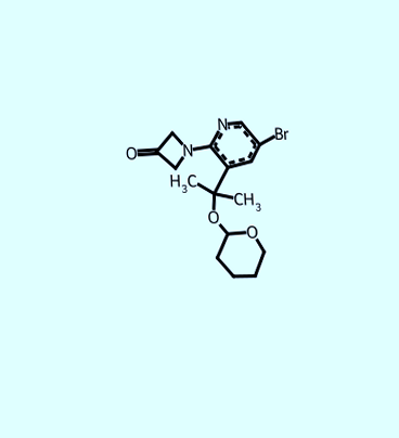 CC(C)(OC1CCCCO1)c1cc(Br)cnc1N1CC(=O)C1